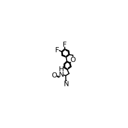 N#CC(Cc1ccc2c(c1)OCc1cc(F)c(F)cc1-2)NC=O